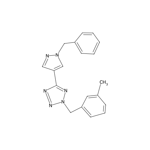 Cc1cccc(Cn2nnc(-c3cnn(Cc4ccccc4)c3)n2)c1